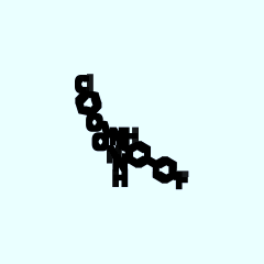 O=C(COc1ccc(Cl)cc1)Nc1n[nH]c2cc(-c3ccc(F)cc3)ccc12